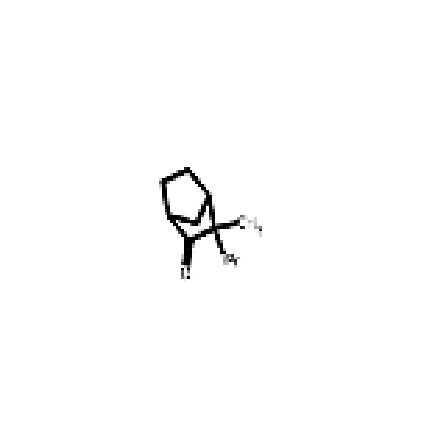 CC(C)C1(C)C(=O)C2CCC1C2